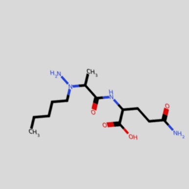 CCCCCN(N)C(C)C(=O)NC(CCC(N)=O)C(=O)O